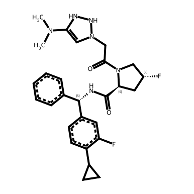 CN(C)C1=CN(CC(=O)N2C[C@H](F)C[C@H]2C(=O)N[C@@H](c2ccccc2)c2ccc(C3CC3)c(F)c2)NN1